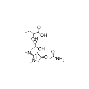 CC(=O)O.CC(N)=O.CCC(O)C(=O)O.CN1CC(=O)NC1=N